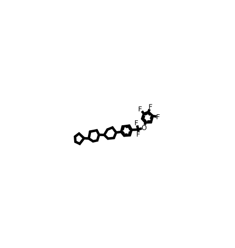 Fc1cc(OC(F)(F)c2ccc(C3CCC(C4CCC(C5CCCC5)CC4)CC3)cc2)cc(F)c1F